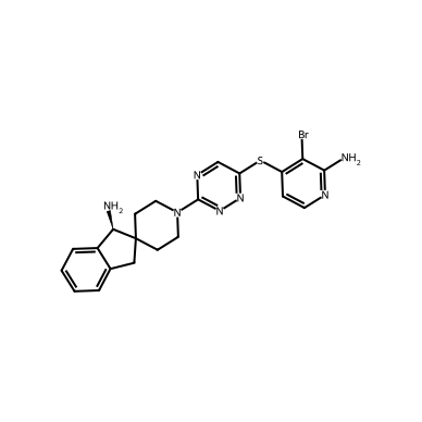 Nc1nccc(Sc2cnc(N3CCC4(CC3)Cc3ccccc3[C@H]4N)nn2)c1Br